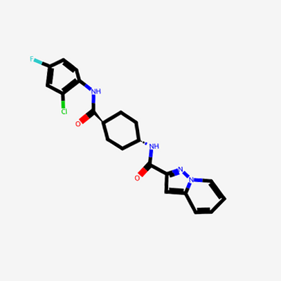 O=C(N[C@H]1CC[C@H](C(=O)Nc2ccc(F)cc2Cl)CC1)c1cc2ccccn2n1